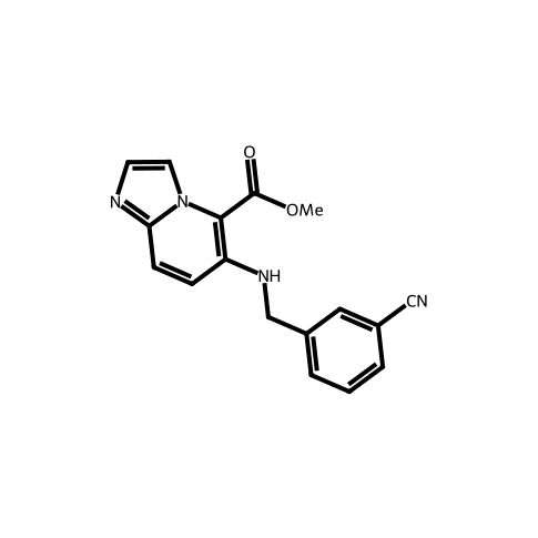 COC(=O)c1c(NCc2cccc(C#N)c2)ccc2nccn12